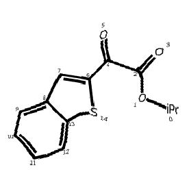 CC(C)OC(=O)C(=O)c1cc2ccccc2s1